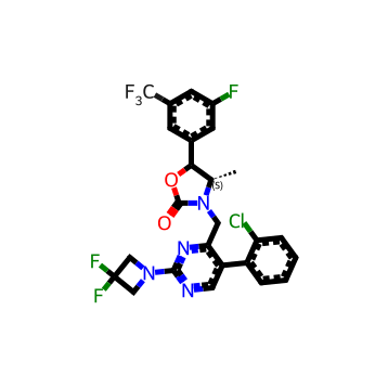 C[C@H]1C(c2cc(F)cc(C(F)(F)F)c2)OC(=O)N1Cc1nc(N2CC(F)(F)C2)ncc1-c1ccccc1Cl